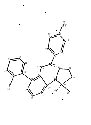 CC(C)c1ncc(C(=O)Nc2c(-c3ccccc3F)ccnc2N2CCCC2(C)C)cn1